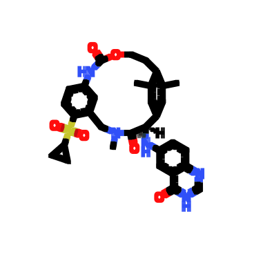 Cc1cc2cc(C)c1CCOC(=O)Nc1ccc(S(=O)(=O)C3CC3)c(c1)CN(C)C(=O)[C@@H]2Nc1ccc2nc[nH]c(=O)c2c1